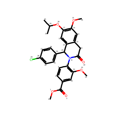 COC(=O)c1ccc(N2C(=O)Cc3cc(OC)c(OC(C)C)cc3C2c2ccc(Cl)cc2)c(OC)c1